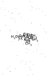 Cc1ccc(N(C)C2=NC(C)N=C(N(C)C)N2C)o1